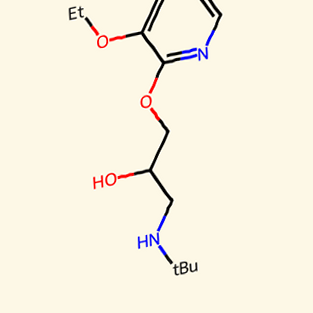 CCOc1cccnc1OCC(O)CNC(C)(C)C